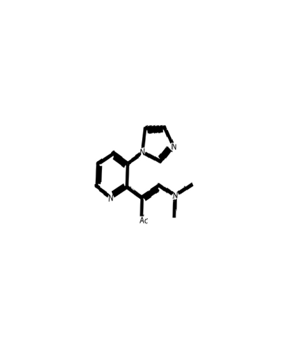 CC(=O)C(=CN(C)C)c1ncccc1-n1ccnc1